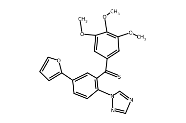 COc1cc(C(=S)c2cc(-c3ccco3)ccc2-n2cncn2)cc(OC)c1OC